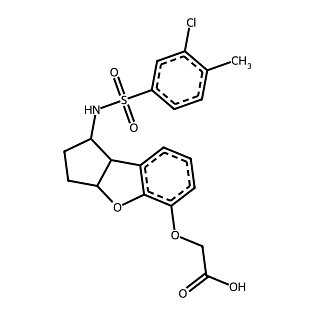 Cc1ccc(S(=O)(=O)NC2CCC3Oc4c(OCC(=O)O)cccc4C23)cc1Cl